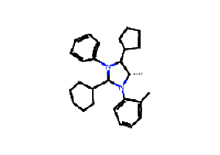 Cc1ccccc1N1C(C2CCCCC2)N(c2ccccc2)C(C2CCCC2)[C@@H]1C